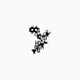 C=C[C@@H]1C[C@]1(NC(=O)[C@@H]1C[C@@H](Oc2nccc3ccccc23)CN1C(=O)OC(C)(C)C)C(=O)NS(=O)(=O)C1CC1